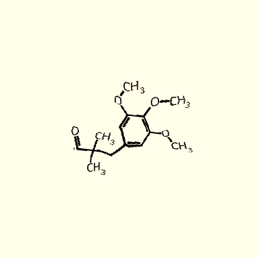 COc1cc(CC(C)(C)[C]=O)cc(OC)c1OC